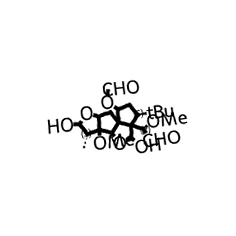 CO[C@@H](C=O)C12C(O)OC3C4(OC)C(CC31C(OC=O)C[C@H]2C(C)(C)C)OC(O)[C@H]4C